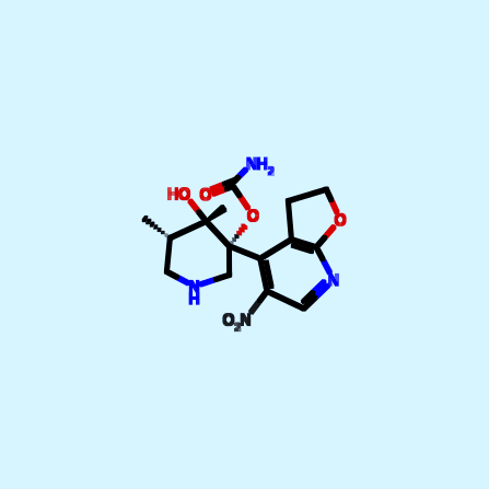 C[C@H]1CNC[C@](OC(N)=O)(c2c([N+](=O)[O-])cnc3c2CCO3)[C@@]1(C)O